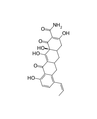 C/C=C\c1ccc(O)c2c1CC1CC3CC(O)=C(C(N)=O)C(=O)[C@@]3(O)C(O)=C1C2=O